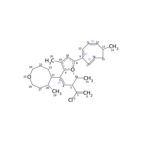 C=C(Cl)C(/C=C(\c1oc(C2=C/C=C\C(C)C\C=C\2)cc1C)C1CCCOCCC1C)CC